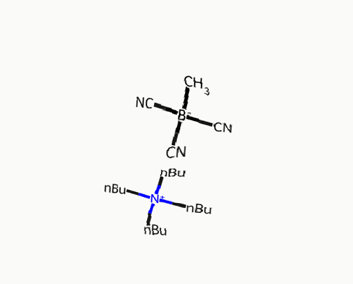 CCCC[N+](CCCC)(CCCC)CCCC.C[B-](C#N)(C#N)C#N